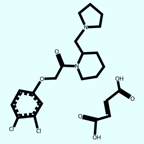 O=C(COc1ccc(Cl)c(Cl)c1)N1CCCCC1CN1CCCC1.O=C(O)C=CC(=O)O